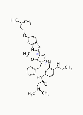 CCNc1ccc(NC(=O)CN(C)C)cc1/N=C1/S/C(=C2\Sc3ccc(OCCN(C)C)cc3N2C)C(=O)N1Cc1ccccc1